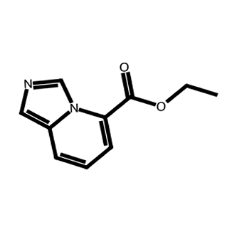 CCOC(=O)c1cccc2cncn12